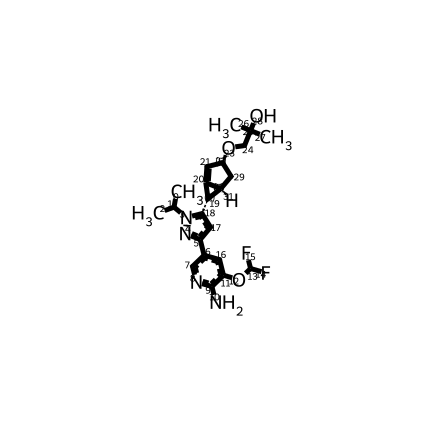 CC(C)n1nc(-c2cnc(N)c(OC(F)F)c2)cc1[C@@H]1C2=C[C@@H](OCC(C)(C)O)C[C@H]21